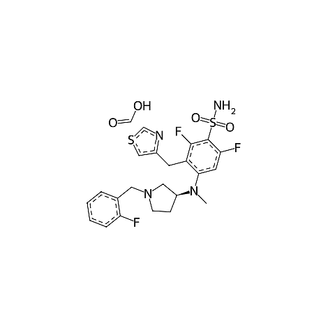 CN(c1cc(F)c(S(N)(=O)=O)c(F)c1Cc1cscn1)[C@H]1CCN(Cc2ccccc2F)C1.O=CO